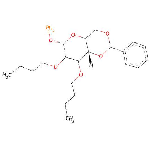 CCCCOC1C(OCCCC)[C@H]2OC(c3ccccc3)OCC2O[C@H]1OP